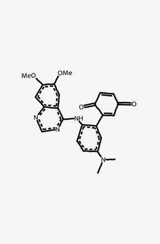 COc1cc2ncnc(Nc3ccc(N(C)C)cc3C3=CC(=O)C=CC3=O)c2cc1OC